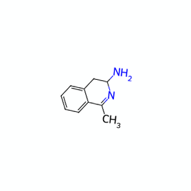 CC1=NC(N)Cc2ccccc21